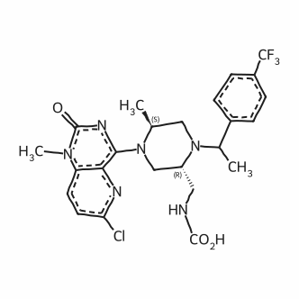 CC(c1ccc(C(F)(F)F)cc1)N1C[C@H](C)N(c2nc(=O)n(C)c3ccc(Cl)nc23)C[C@H]1CNC(=O)O